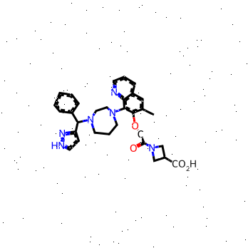 Cc1cc2cccnc2c(N2CCCN(C(c3ccccc3)c3cc[nH]n3)CC2)c1OCC(=O)N1CC(C(=O)O)C1